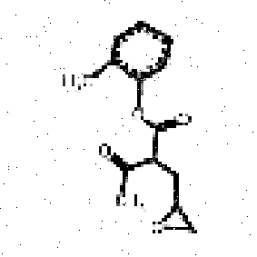 CC(=O)C(CC1CO1)C(=O)Oc1ccccc1C